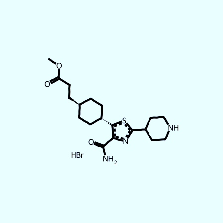 Br.COC(=O)CC[C@H]1CC[C@H](c2sc(C3CCNCC3)nc2C(N)=O)CC1